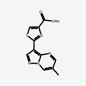 COC(=O)c1csc(-c2cnn3cc(C)cnc23)n1